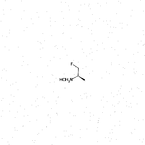 C[C@@H](N)CF.Cl